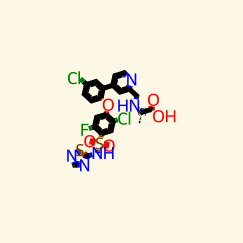 C[C@H](NCc1cc(-c2cc(Cl)ccc2Oc2cc(F)c(S(=O)(=O)Nc3ncns3)cc2Cl)ccn1)C(=O)O